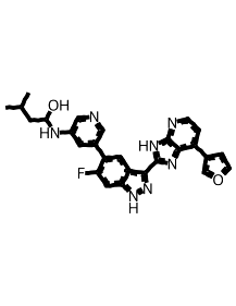 CC(C)CC(O)Nc1cncc(-c2cc3c(-c4nc5c(-c6ccoc6)ccnc5[nH]4)n[nH]c3cc2F)c1